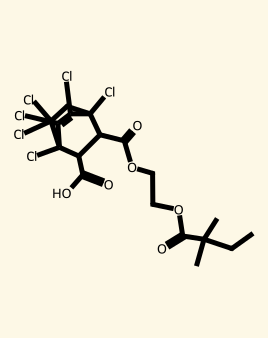 CCC(C)(C)C(=O)OCCOC(=O)C1C(C(=O)O)C2(Cl)C(Cl)=C(Cl)C1(Cl)CC2(Cl)Cl